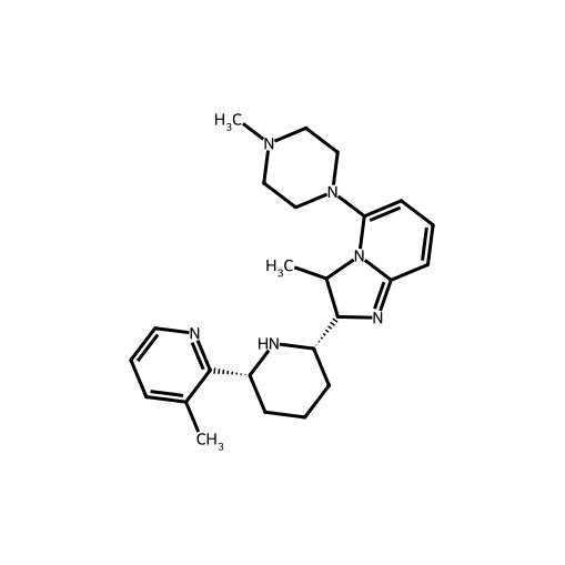 Cc1cccnc1[C@H]1CCC[C@@H](C2N=C3C=CC=C(N4CCN(C)CC4)N3C2C)N1